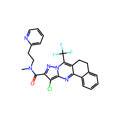 CN(CCc1ccccn1)C(=O)c1nn2c(C(F)(F)F)c3c(nc2c1Cl)-c1ccccc1CC3